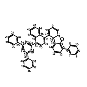 C1=CC2Oc3c(-c4ccccc4)cccc3C2C(c2ccc(-c3nc(-c4ccccc4)nc(-c4ccccc4)n3)c3ccccc23)=C1